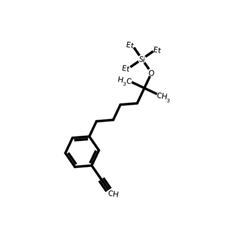 C#Cc1cccc(CCCCC(C)(C)O[Si](CC)(CC)CC)c1